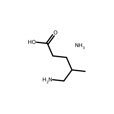 CC(CN)CCC(=O)O.N